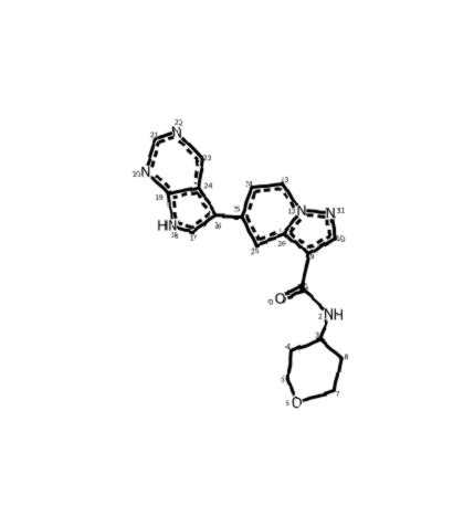 O=C(NC1CCOCC1)c1cnn2ccc(-c3c[nH]c4ncncc34)cc12